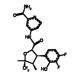 C[C@@H]1[C@H](c2ccc(F)c(F)c2O)[C@H](C(=O)Nc2ccnc(C(N)=O)c2)O[C@]1(C)C(F)(F)F